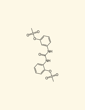 CS(=O)(=O)Oc1cccc(NC(=O)Nc2ccccc2OS(C)(=O)=O)c1